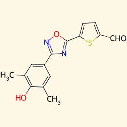 Cc1cc(-c2noc(-c3ccc(C=O)s3)n2)cc(C)c1O